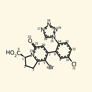 O=C(O)[C@@H]1CCc2c(Br)c(-c3cc(Cl)ccc3-n3cnnn3)cc(=O)n21